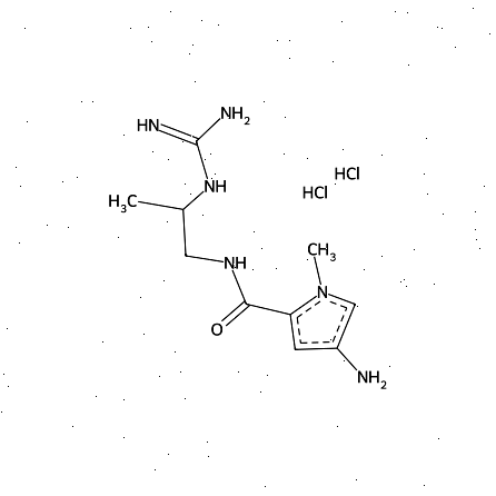 CC(CNC(=O)c1cc(N)cn1C)NC(=N)N.Cl.Cl